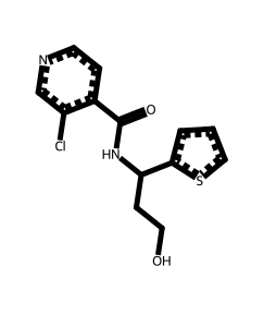 O=C(NC(CCO)c1cccs1)c1ccncc1Cl